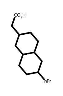 CCCC1CCC2CC(CC(=O)O)CCC2C1